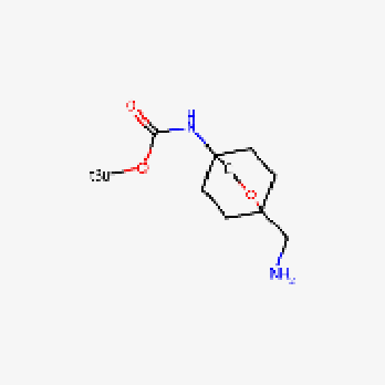 CC(C)(C)OC(=O)NC12CCC(CN)(CC1)OC2